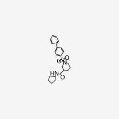 O=C(NC1CCCC1)C1CCCN(S(=O)(=O)c2ccc(-c3ccccc3)cc2)C1